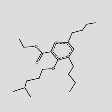 CCCCc1cc(CCCC)c(OCCCC(C)C)c(C(=O)OCC)c1